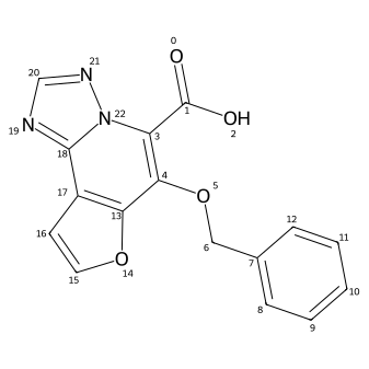 O=C(O)c1c(OCc2ccccc2)c2occc2c2ncnn12